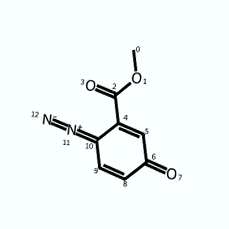 COC(=O)C1=CC(=O)C=CC1=[N+]=[N-]